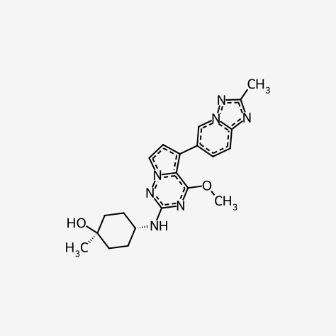 COc1nc(N[C@H]2CC[C@](C)(O)CC2)nn2ccc(-c3ccc4nc(C)nn4c3)c12